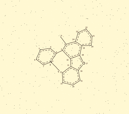 Cc1c(-c2cccc[n+]2C)c2c3ccccc3oc2c2ccccc12